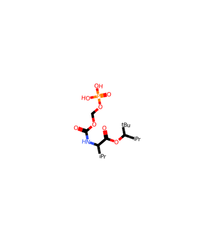 CC(C)C(NC(=O)OCOP(=O)(O)O)C(=O)OC(C(C)C)C(C)(C)C